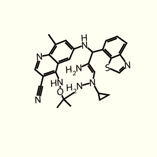 Cc1cc(NC(/C(N)=C/N(N)C2CC2)c2cccc3ncsc23)cc2c(NOC(C)(C)C)c(C#N)cnc12